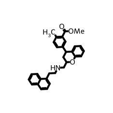 COC(=O)c1cc(C2CC(CNCCc3cccc4ccccc34)Oc3ccccc32)ccc1C